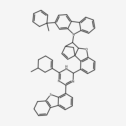 CC1CCC=C(C2=NC(c3cccc4c5c(sc34)CCC=C5)=NC(c3cccc4c3C35C=CC(C3)C(n3c6ccccc6c6ccc(C7(C)C=CC=CC7)cc63)C5O4)N2)C1